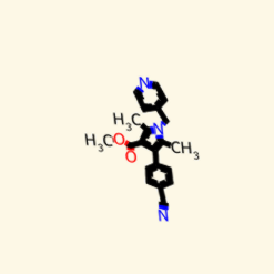 COC(=O)c1c(-c2ccc(C#N)cc2)c(C)n(Cc2ccncc2)c1C